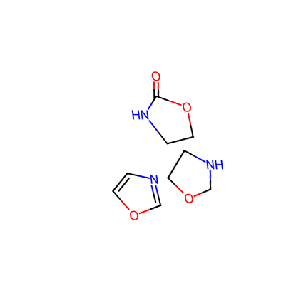 C1COCN1.O=C1NCCO1.c1cocn1